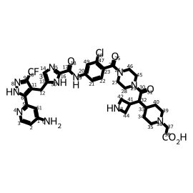 Nc1ccnc(-c2[nH]nc(C(F)(F)F)c2Cc2cnc(C(=O)Nc3ccc(C(=O)N4CCN(C(=O)C(C5CCN(CC(=O)O)CC5)C5CNC5)CC4)c(Cl)c3)[nH]2)c1